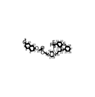 COc1ccc2ccc(OCC(=O)OCCN3CCN(CCCN4c5ccccc5Sc5ccc(C(F)(F)F)cc54)CC3)cc2c1